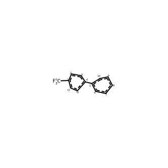 FC(F)(F)c1[c]cc(-c2ccccc2)cc1